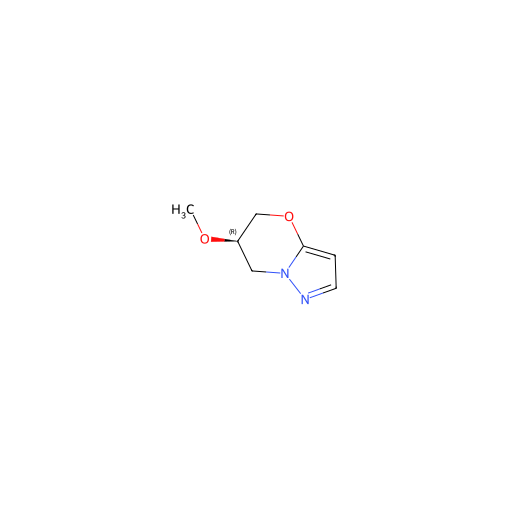 CO[C@H]1COc2ccnn2C1